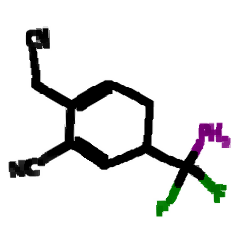 N#CCC1=CCC(C(F)(F)P)C=C1C#N